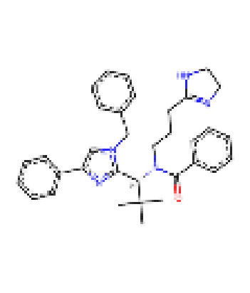 CC(C)(C)[C@H](c1nc(-c2ccccc2)cn1Cc1ccccc1)N(CCCC1=NCCN1)C(=O)c1ccccc1